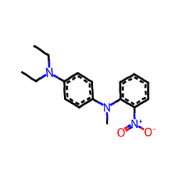 CCN(CC)c1ccc(N(C)c2ccccc2[N+](=O)[O-])cc1